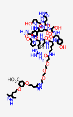 Cc1n[nH]c(C)c1CCCOc1cc(OCCCc2cn(CCOCCOCCOCCC(=O)NCCCCC(NC(=O)C(Cc3ccc(O)cc3)NC(=O)C(CO)NC(=O)C(Cc3c[nH]c4ccccc34)NC(=O)C(Cc3c[nH]cn3)NC(=O)C3CCC(O)N3)C(=O)NC(CC(C)C)C(=O)NC(CCCNC(=N)N)C(=O)N3CCCC3C(=O)NCC(N)=O)nn2)cc(C(=O)O)c1